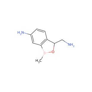 CB1OC(CN)c2ccc(N)cc21